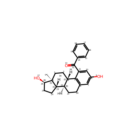 C[C@]12CC[C@@H]3c4c(cc(O)cc4C(=O)c4ccccc4)CC[C@H]3[C@@H]1CC[C@H]2O